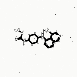 Cc1cncc2cccc(NC3CCC(NC(=O)OC(C)(C)C)CC3)c12